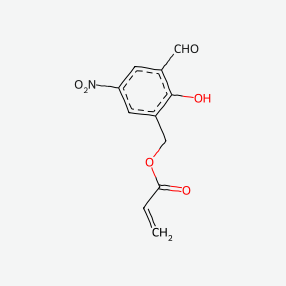 C=CC(=O)OCc1cc([N+](=O)[O-])cc(C=O)c1O